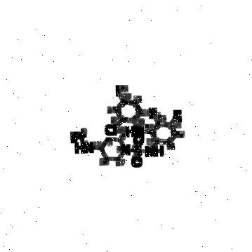 CC(C)NC1CCN(S(=O)(=O)Nc2ccc(F)c(F)c2Nc2ccc(I)cc2Cl)CC1